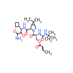 C/C=C/C(=O)OC[C@H](NC(=O)NC(C)(C)C)C(=O)N1CC2C(C1C(=O)NC(C(=O)C(N)=O)C1CCC1)C2(C)C